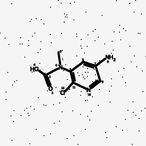 CN(C(=O)O)c1cc(N)cnc1Cl